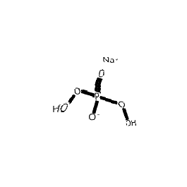 O=P([O-])(OO)OO.[Na+]